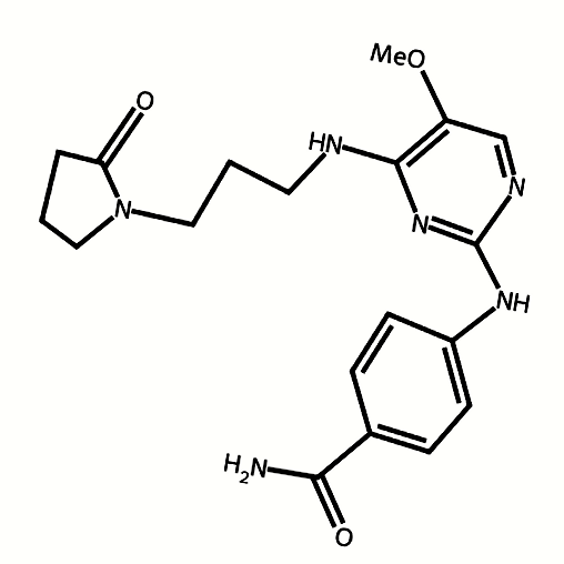 COc1cnc(Nc2ccc(C(N)=O)cc2)nc1NCCCN1CCCC1=O